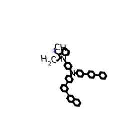 C=Cc1c(/C=C\C)c2ccccc2n1-c1ccc(N(c2ccc(-c3ccc(-c4ccccc4)cc3)cc2)c2ccc(-c3cccc(-c4ccc5ccccc5c4)c3)cc2)cc1